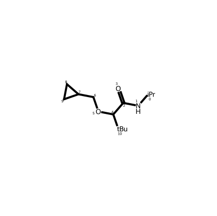 CC(C)NC(=O)C(OCC1CC1)C(C)(C)C